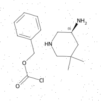 CC1(C)CNC[C@@H](N)C1.O=C(Cl)OCc1ccccc1